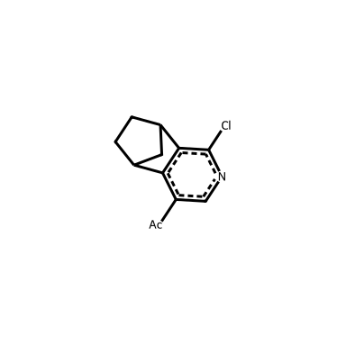 CC(=O)c1cnc(Cl)c2c1C1CCC2C1